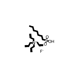 C=CC[N+](CC=C)(CC=C)CC=C.CCCCCCCS(=O)(=O)O.[F-]